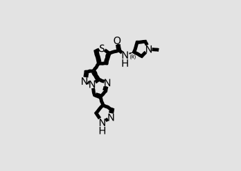 CN1CC[C@@H](NC(=O)c2cc(-c3cnn4cc(C5C=NNC5)cnc34)cs2)C1